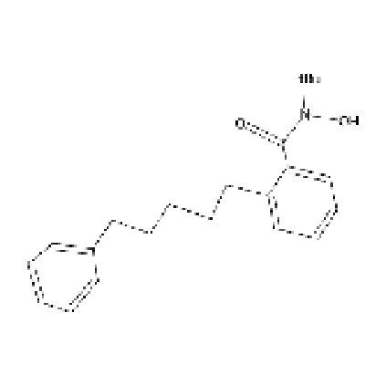 CC(C)(C)N(O)C(=O)c1ccccc1CCCCCc1ccccc1